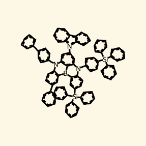 c1ccc(-c2ccc(N3c4ccc(-c5ccccc5)cc4B4c5cc([Si](c6ccccc6)(c6ccccc6)c6ccccc6)ccc5N(c5ccc([Si](c6ccccc6)(c6ccccc6)c6ccccc6)cc5)c5cc(-n6c7ccccc7c7ccccc76)cc3c54)cc2)cc1